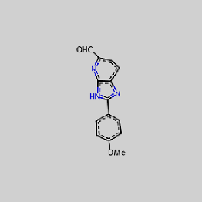 COc1ccc(-c2nc3ccc(C=O)nc3[nH]2)cc1